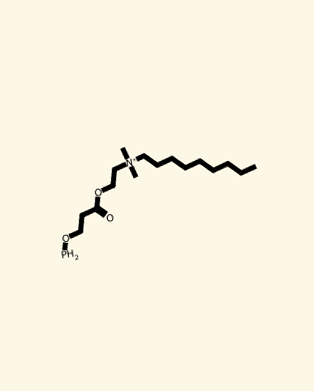 CCCCCCCCC[N+](C)(C)CCOC(=O)CCOP